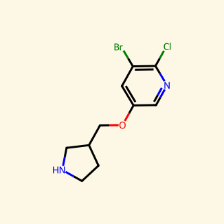 Clc1ncc(OCC2CCNC2)cc1Br